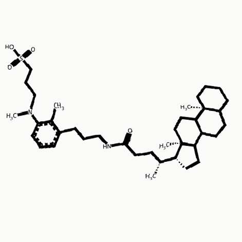 Cc1c(CCCNC(=O)CC[C@@H](C)[C@H]2CCC3C4CCC5CCCC[C@]5(C)C4CC[C@@]32C)cccc1N(C)CCCS(=O)(=O)O